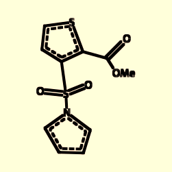 COC(=O)c1sccc1S(=O)(=O)n1cccc1